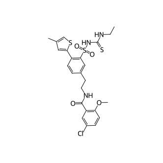 CCNC(=S)NS(=O)(=O)c1cc(CCNC(=O)c2cc(Cl)ccc2OC)ccc1-c1cc(C)cs1